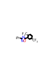 CC(C)c1noc(-c2cc(C(F)(F)F)ccc2C(F)(F)F)n1